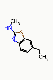 CCc1ccc2nc(NC)sc2c1